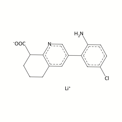 Nc1ccc(Cl)cc1-c1cnc2c(c1)CCCC2C(=O)[O-].[Li+]